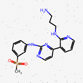 CS(=O)(=O)c1cccc(Nc2nccc(-c3cccnc3NCCCN)n2)c1